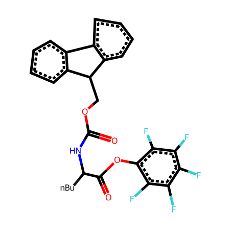 CCCCC(NC(=O)OCC1c2ccccc2-c2ccccc21)C(=O)Oc1c(F)c(F)c(F)c(F)c1F